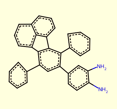 Nc1ccc(-c2cc(-c3ccccc3)c3c(c2-c2ccccc2)-c2cccc4cccc-3c24)cc1N